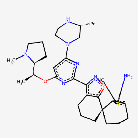 CC(C)[C@@H]1CN(c2cc(O[C@@H](C)[C@@H]3CCCN3C)nc(-c3noc4c3CCC[C@@]43CCCc4sc(N)c(C#N)c43)n2)CCN1